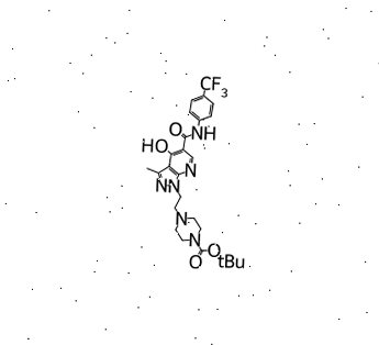 Cc1nn(CCN2CCN(C(=O)OC(C)(C)C)CC2)c2ncc(C(=O)Nc3ccc(C(F)(F)F)cc3)c(O)c12